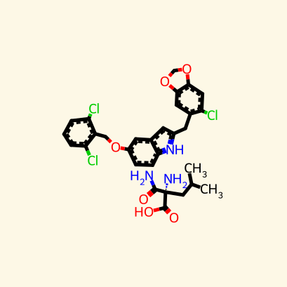 CC(C)C[C@](N)(C(N)=O)C(=O)O.Clc1cc2c(cc1Cc1cc3cc(OCc4c(Cl)cccc4Cl)ccc3[nH]1)OCO2